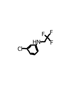 FC(F)(F)CNc1cccc(Cl)c1